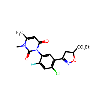 CCOC(=O)C1CC(c2cc(-n3c(=O)cc(C(F)(F)F)n(C)c3=O)c(F)cc2Cl)=NO1